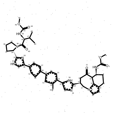 COC(=O)N[C@H]1CCc2ccn3c2C1C(=O)C[C@H](c1ncc(-c2ccc(-c4ccc(-c5c[nH]c([C@@H]6CCCN6C(=O)[C@@H](NC(=O)OC)C(C)C)n5)cc4)cc2F)[nH]1)C3